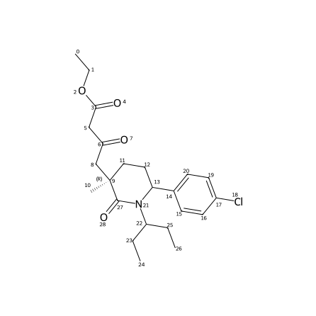 CCOC(=O)CC(=O)C[C@@]1(C)CCC(c2ccc(Cl)cc2)N(C(CC)CC)C1=O